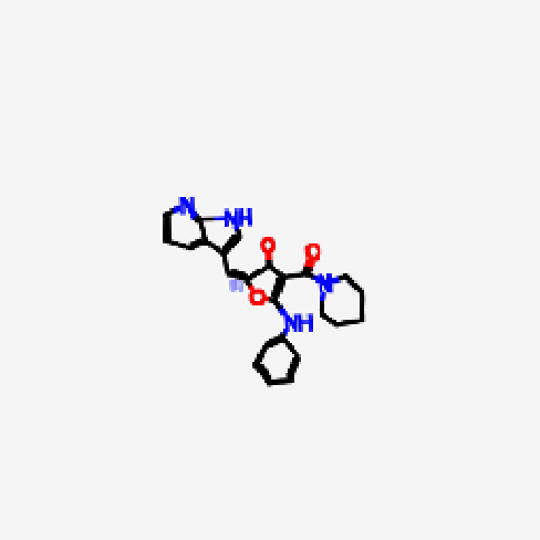 O=C1C(C(=O)N2CCCCC2)=C(Nc2ccccc2)O/C1=C/c1c[nH]c2ncccc12